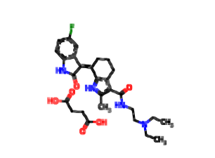 CCN(CC)CCNC(=O)c1c(C)[nH]c2c1CCCC2=C1C(=O)Nc2ccc(F)cc21.O=C(O)CCC(=O)O